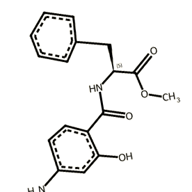 COC(=O)[C@H](Cc1ccccc1)NC(=O)c1ccc(N)cc1O